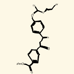 CCC(OCCC(C)C)Oc1ccc(C(=O)CC(=O)c2ccc(C(=O)OC)cc2)cc1